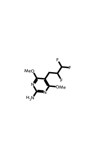 COc1nc(N)nc(OC)c1CC(F)C(F)F